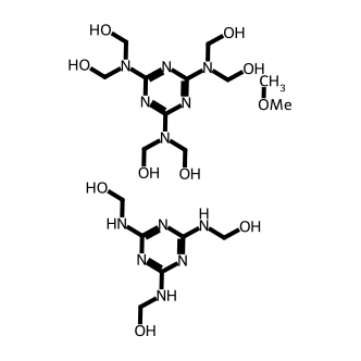 COC.OCN(CO)c1nc(N(CO)CO)nc(N(CO)CO)n1.OCNc1nc(NCO)nc(NCO)n1